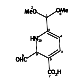 COC(OC)C1=CC=C(C(=O)O)C(C=O)N1